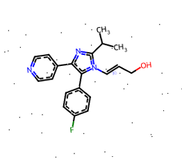 CC(C)c1nc(-c2ccncc2)c(-c2ccc(F)cc2)n1/C=C/CO